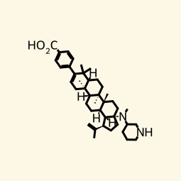 C=C(C)[C@@H]1CC[C@]2(N(C)C3CCCNC3)CC[C@]3(C)[C@H](CC[C@@H]4[C@@]5(C)CC=C(c6ccc(C(=O)O)cc6)C(C)(C)[C@@H]5CC[C@]43C)[C@@H]12